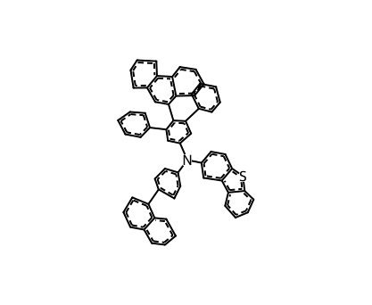 c1ccc(-c2cc(N(c3ccc(-c4cccc5ccccc45)cc3)c3ccc4sc5ccccc5c4c3)cc(-c3ccccc3)c2-c2cc3ccccc3c3ccccc23)cc1